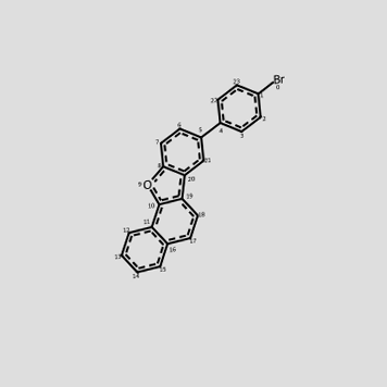 Brc1ccc(-c2ccc3oc4c5ccccc5ccc4c3c2)cc1